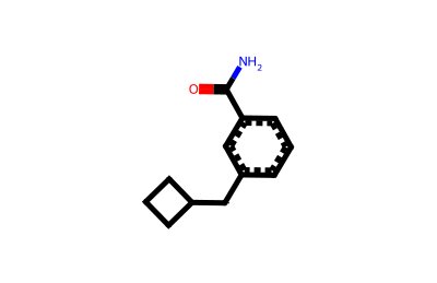 NC(=O)c1cccc([CH]C2CCC2)c1